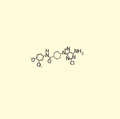 COc1ccc(NC(=O)C2CCC(n3cnc4c(N)nc(Cl)nc43)CC2)cc1OC